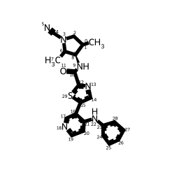 CC1CN(C#N)C(C)[C@@H]1NC(=O)c1ncc(-c2cnccc2Nc2ccccc2)s1